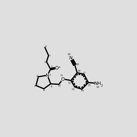 CCCC(=O)N1CCCC1COc1ccc(N)cc1C#N